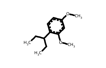 CCC(CC)c1ccc(OC)cc1OC